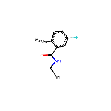 COc1ccc(F)cc1C(=O)NCC(C)C